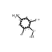 CCSc1c(F)cc(N)cc1F